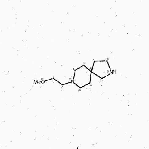 COCCN1CCC2(CCNC2)CC1